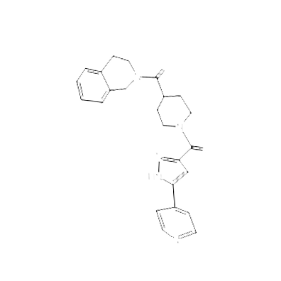 O=C(c1cc(-c2ccncc2)[nH]n1)N1CCC(C(=O)N2CCc3ccccc3C2)CC1